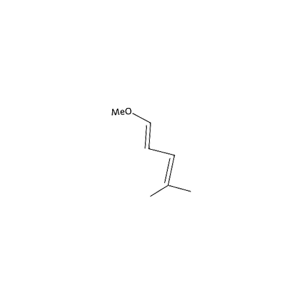 COC=CC=C(C)C